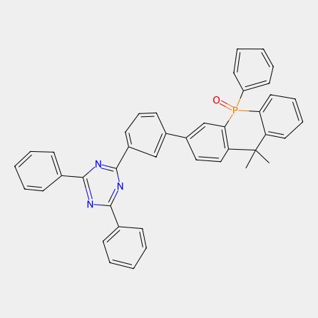 CC1(C)c2ccccc2P(=O)(c2ccccc2)c2cc(-c3cccc(-c4nc(-c5ccccc5)nc(-c5ccccc5)n4)c3)ccc21